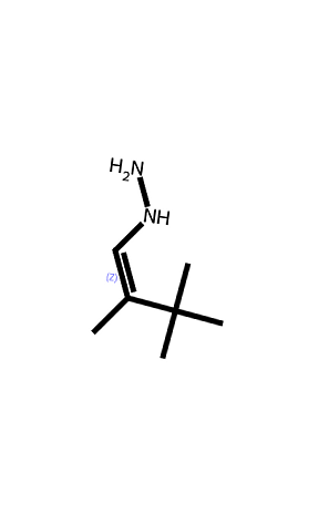 C/C(=C/NN)C(C)(C)C